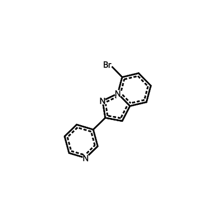 Brc1cccc2cc(-c3cccnc3)nn12